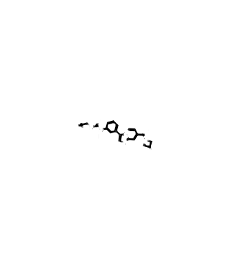 O=C(NCC(F)(F)F)Nc1cccc(-c2cnc3cc(C(=O)N4CC(O)C4)ccn23)c1